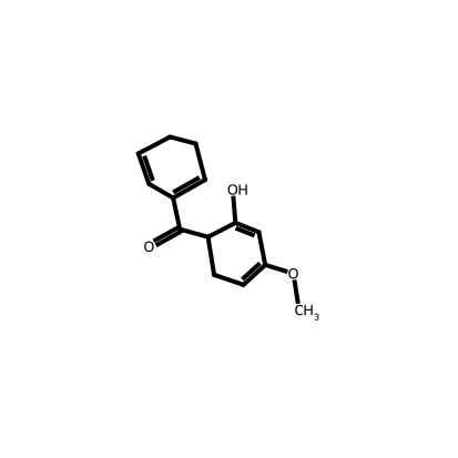 COC1=CCC(C(=O)C2=CCCC=C2)C(O)=C1